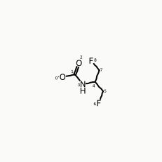 [O]C(=O)NC(CF)CF